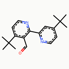 CC(C)(C)c1ccnc(-c2nccc(C(C)(C)C)c2C=O)c1